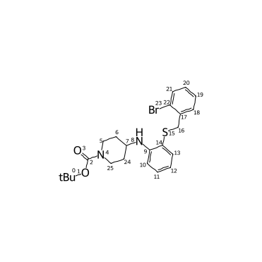 CC(C)(C)OC(=O)N1CCC(Nc2ccccc2SCc2ccccc2Br)CC1